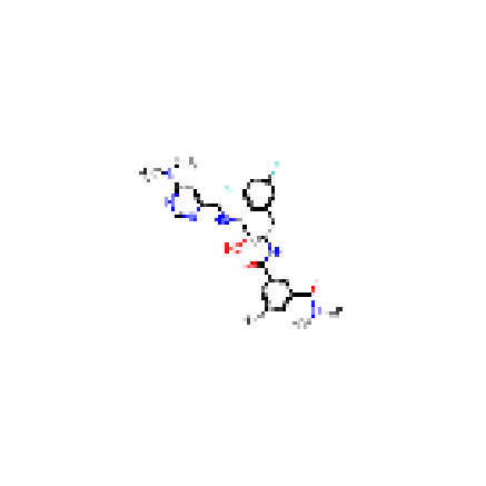 CCCN(CCC)C(=O)c1cc(C)cc(C(=O)N[C@@H](Cc2cc(F)cc(F)c2)[C@H](O)CNCc2cc(N(C)C)ncn2)c1